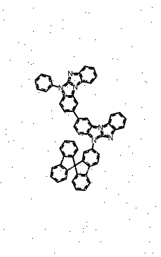 c1ccc(-n2c3ccc(-c4ccc5c(c4)n4c6ccccc6nc4n5-c4ccc5c(c4)C4(c6ccccc6-c6ccccc64)c4ccccc4-5)cc3n3c4ccccc4nc23)cc1